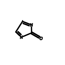 O=C1N=[C]C=N1